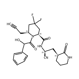 C#CC[C@H]1CC(F)(F)C[C@@H](C(=O)N[C@H](C#N)C[C@@H]2CCCNC2=O)N1C(=O)C(O)c1ccccc1